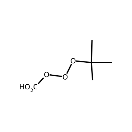 CC(C)(C)OOOC(=O)O